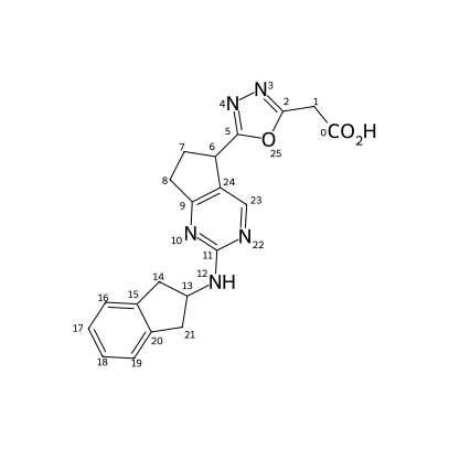 O=C(O)Cc1nnc(C2CCc3nc(NC4Cc5ccccc5C4)ncc32)o1